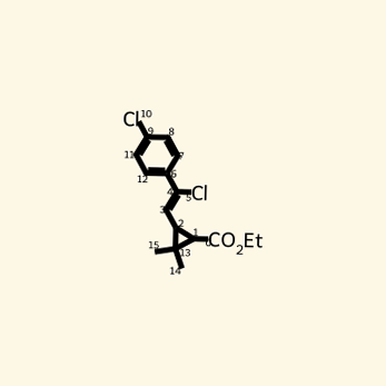 CCOC(=O)C1C(/C=C(\Cl)c2ccc(Cl)cc2)C1(C)C